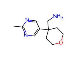 Cc1ncc(C2(CN)CCOCC2)cn1